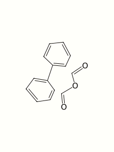 O=COC=O.c1ccc(-c2ccccc2)cc1